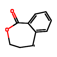 O=C1OCC[C]c2ccccc21